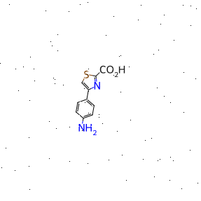 Nc1ccc(-c2csc(C(=O)O)n2)cc1